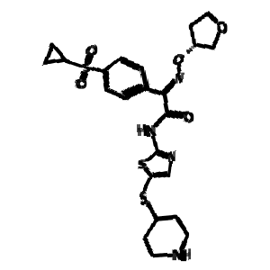 O=C(Nc1ncc(SC2CCNCC2)s1)/C(=N/O[C@@H]1CCOC1)c1ccc(S(=O)(=O)C2CC2)cc1